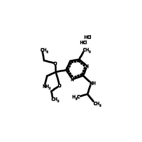 CCOC(CN)(OCC)c1cc(C)nc(NC(C)C)n1.Cl.Cl